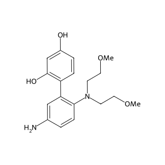 COCCN(CCOC)c1ccc(N)cc1-c1ccc(O)cc1O